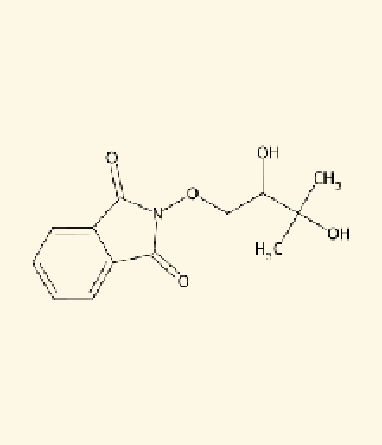 CC(C)(O)C(O)CON1C(=O)c2ccccc2C1=O